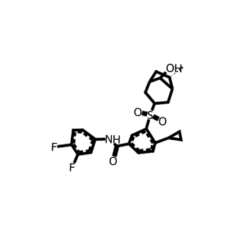 C[C@H]1CC2CC(S(=O)(=O)c3cc(C(=O)Nc4ccc(F)c(F)c4)ccc3C3CC3)CC1[C@]2(C)O